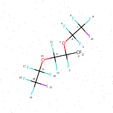 FC(F)(F)C(F)(OC(F)(F)C(F)(F)I)C(F)(F)OC(F)(F)C(F)(F)I